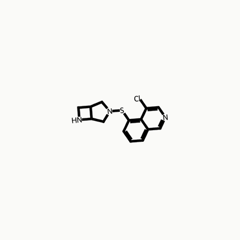 Clc1cncc2cccc(SN3CC4CNC4C3)c12